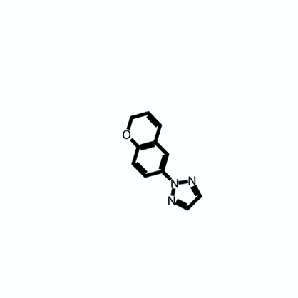 C1=Cc2cc(-n3nccn3)ccc2OC1